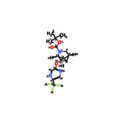 CC(C)(C)OC(=O)N1C[C@@H]2CC[C@H]1[C@H](Oc1cnc(C(F)(F)F)cn1)C2